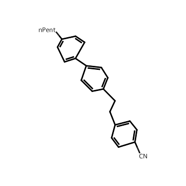 CCCCCc1ccc(-c2ccc(CCc3ccc(C#N)cc3)cc2)cc1